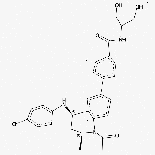 CC(=O)N1c2ccc(-c3ccc(C(=O)NC(CO)CO)cc3)cc2[C@H](Nc2ccc(Cl)cc2)C[C@@H]1C